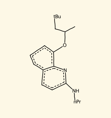 CCCNc1ccc2cccc(OC(C)CC(C)(C)C)c2n1